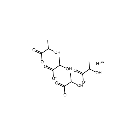 CC(O)C(=O)[O-].CC(O)C(=O)[O-].CC(O)C(=O)[O-].CC(O)C(=O)[O-].[Hf+4]